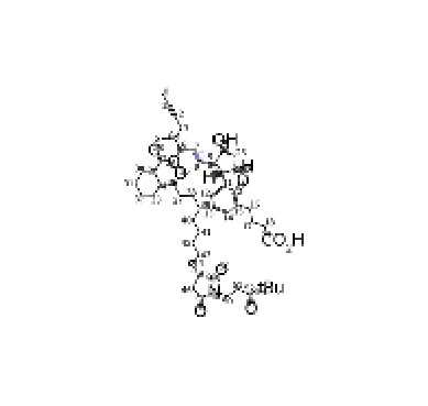 CC#CC[C@H](C)[C@@H](/C=C/[C@@H]1[C@H]2c3cccc(CCCC(=O)O)c3O[C@H]2C[C@H]1O)OC(=O)C1CCCCC1C(=O)CCCCCCCSC1CC(=O)N(CCC(=O)C(C)(C)C)C1=O